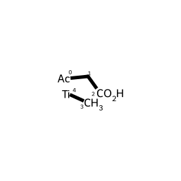 CC(=O)CC(=O)O.[CH3][Ti]